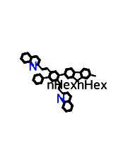 CCCCCCC1(CCCCCC)c2cc(C)ccc2-c2ccc(-c3cc(/C=C/c4ccc5ccccc5n4)c(-c4ccccc4)cc3/C=C/c3ccc4ccccc4n3)cc21